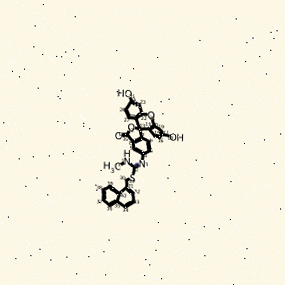 CN/C(=N\c1ccc2c(c1)C(=O)OC21c2ccc(O)cc2Oc2cc(O)ccc21)SCc1cccc2ccccc12